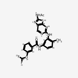 CC(=O)Nc1nc2cnc(Nc3cc(NC(=O)c4cccc(OC(F)F)c4)ccc3C)nc2s1